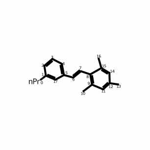 C[CH]Cc1cccc(/C=C/c2c(C)cc(C)cc2C)c1